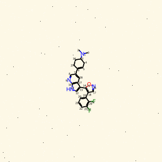 CN(C)C1CC=C(c2cnc3[nH]cc(-c4oncc4-c4cccc(F)c4F)c3c2)CC1